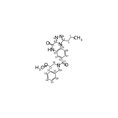 CCCc1nnc2c(=O)[nH]c3cc(C(=O)N(CCOC)Cc4ccccc4)ccc3n12